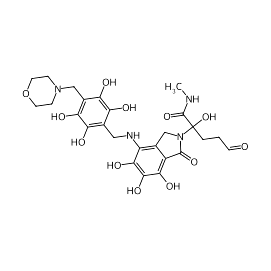 CNC(=O)C(O)(CCC=O)N1Cc2c(NCc3c(O)c(O)c(CN4CCOCC4)c(O)c3O)c(O)c(O)c(O)c2C1=O